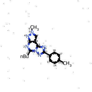 CCCCc1nc2nn(C)cc2c2nc(-c3ccc(C)cc3)nn12